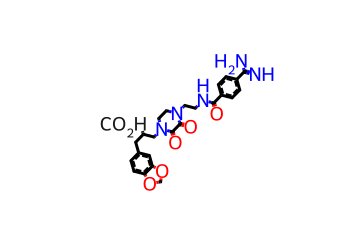 N=C(N)c1ccc(C(=O)NCCN2CCN(CC(Cc3ccc4c(c3)OCO4)C(=O)O)C(=O)C2=O)cc1